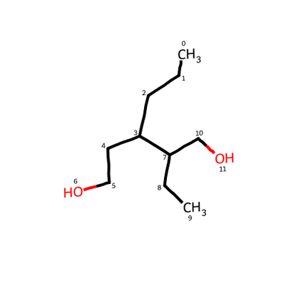 CCCC(CCO)C(CC)CO